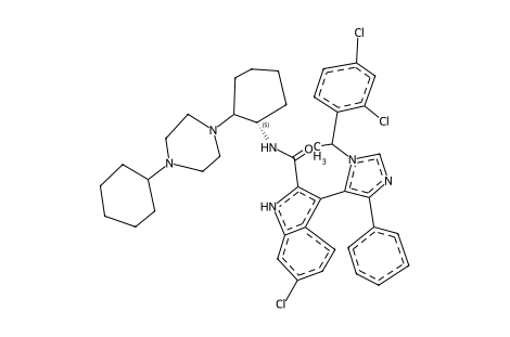 CC(c1ccc(Cl)cc1Cl)n1cnc(-c2ccccc2)c1-c1c(C(=O)N[C@H]2CCCCC2N2CCN(C3CCCCC3)CC2)[nH]c2cc(Cl)ccc12